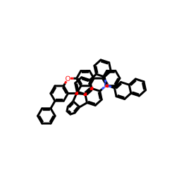 c1ccc(-c2ccc3c(c2)C2(c4cc(-c5ccccc5)ccc4O3)c3ccccc3-c3ccc(N(c4ccc5ccccc5c4)c4ccccc4-c4ccccc4)cc32)cc1